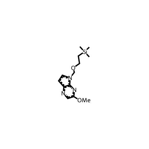 COc1cnc2ccn(COCC[Si](C)(C)C)c2n1